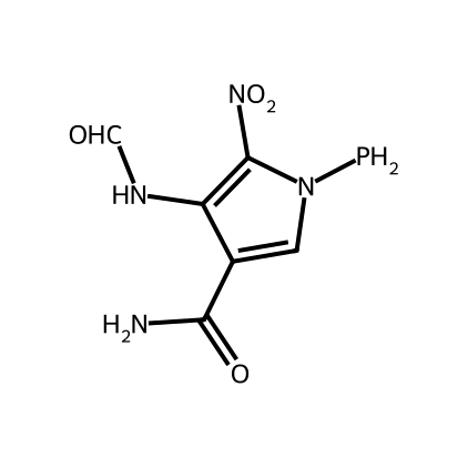 NC(=O)c1cn(P)c([N+](=O)[O-])c1NC=O